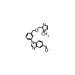 Cn1ccnc1COCc1cccc(-n2cnc3cc(C=O)ccc32)c1